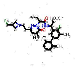 Cc1cc(-c2c(C)cccc2C)cc(C(CC(=O)O)NC(=O)C(CC(C)C)n2nc(CCN3CC(CF)C3)cc(C)c2=O)c1F